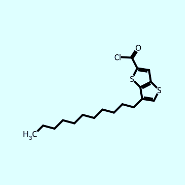 CCCCCCCCCCCc1csc2cc(C(=O)Cl)sc12